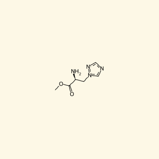 COC(=O)[C@@H](N)Cn1cncn1